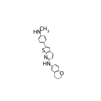 CNc1ccc(-c2cc3ccc(Nc4ccc5c(c4)CCCO5)nc3s2)cc1